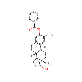 Cc1cc2c(cc1OC(=O)c1ccccc1)CC[C@@H]1[C@@H]2CC[C@]2(C)[C@@H](O)CC[C@@H]12